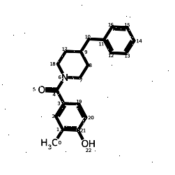 Cc1cc(C(=O)N2CCC(Cc3ccccc3)CC2)ccc1O